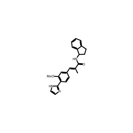 COc1cc(C=C(C)C(=O)NC2CCc3ccccc32)ccc1-c1ncc[nH]1